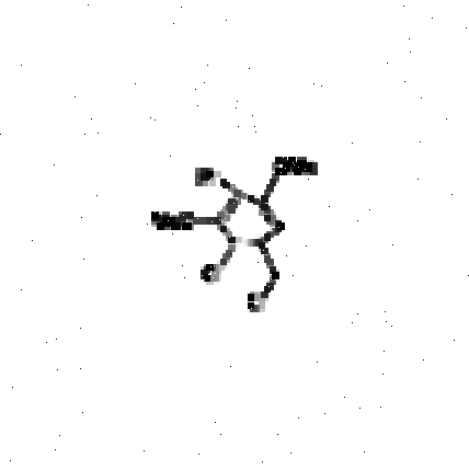 COc1cc(CCl)c(Cl)c(OC)c1C(C)C